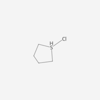 Cl[SH]1CCCC1